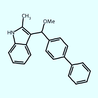 COC(c1ccc(-c2ccccc2)cc1)c1c(C)[nH]c2ccccc12